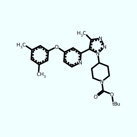 Cc1cc(C)cc(Oc2ccnc(-c3c(C)nnn3C3CCN(C(=O)OC(C)(C)C)CC3)c2)c1